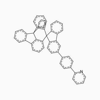 c1ccc(C23c4ccccc4-c4cccc(c42)C2(c4ccccc4-c4cc(-c5ccc(-c6ccccn6)cc5)ccc42)c2ccccc23)cc1